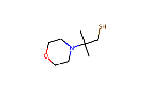 CC(C)(CS)N1CCOCC1